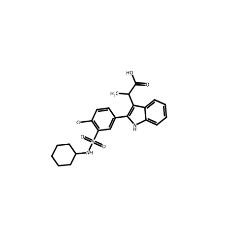 CC(C(=O)O)c1c(-c2ccc(Cl)c(S(=O)(=O)NC3CCCCC3)c2)[nH]c2ccccc12